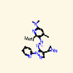 CNc1nc(N(C)C)cc(C)c1/N=N/c1c(C2CN2)cnn1-c1ccccn1